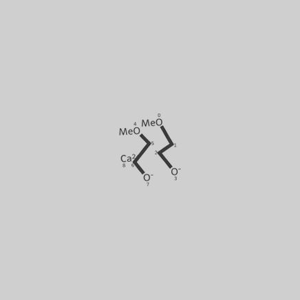 COCC[O-].COCC[O-].[Ca+2]